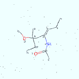 CCC=C(NC(C)=O)C(C)(CC)OC